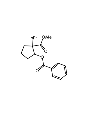 CCCC1(C(=O)OC)CCCC1OC(=O)c1ccccc1